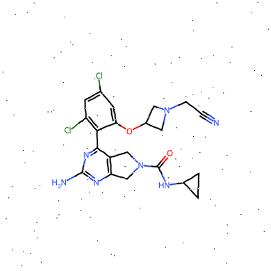 N#CCN1CC(Oc2cc(Cl)cc(Cl)c2-c2nc(N)nc3c2CN(C(=O)NC2CC2)C3)C1